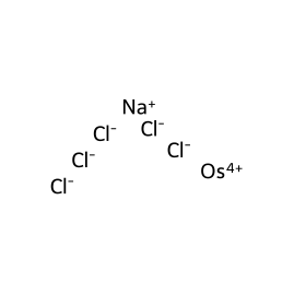 [Cl-].[Cl-].[Cl-].[Cl-].[Cl-].[Na+].[Os+4]